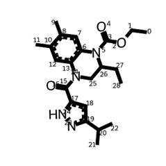 CCOC(=O)N1c2cc(C)c(C)cc2N(C(=O)c2cc(C(C)C)n[nH]2)CC1CC